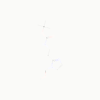 COCn1ccnc1CCNC(=O)OC(C)(C)C